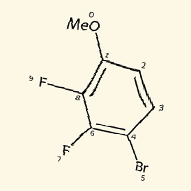 COc1ccc(Br)c(F)c1F